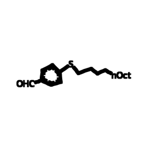 CCCCCCCCCCCCSc1ccc(C=O)cc1